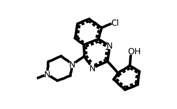 CN1CCN(c2nc(-c3ccccc3O)nc3c(Cl)cccc23)CC1